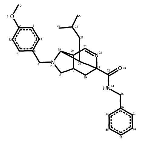 COc1ccc(CN2CC3CC4(C(=O)NCc5ccccc5)N=CC3C2C4CC(C)C)cc1